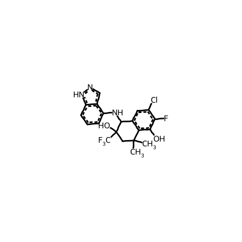 CC1(C)CC(O)(C(F)(F)F)C(Nc2cccc3[nH]ncc23)c2cc(Cl)c(F)c(O)c21